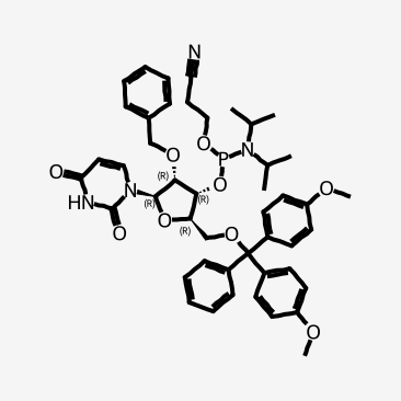 COc1ccc(C(OC[C@H]2O[C@@H](n3ccc(=O)[nH]c3=O)[C@H](OCc3ccccc3)[C@@H]2OP(OCCC#N)N(C(C)C)C(C)C)(c2ccccc2)c2ccc(OC)cc2)cc1